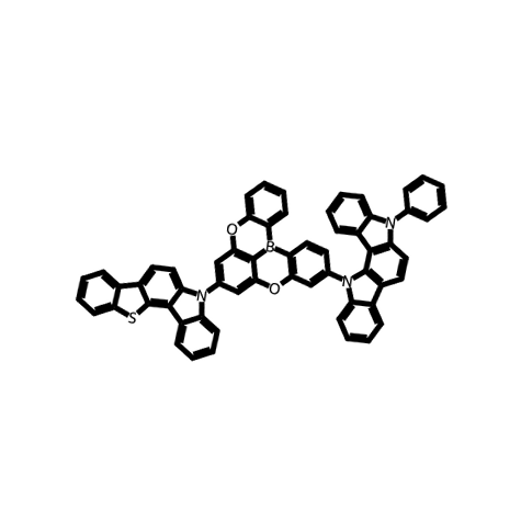 c1ccc(-n2c3ccccc3c3c2ccc2c4ccccc4n(-c4ccc5c(c4)Oc4cc(-n6c7ccccc7c7c8sc9ccccc9c8ccc76)cc6c4B5c4ccccc4O6)c23)cc1